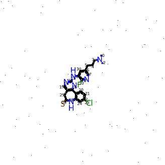 CN(C)CCCc1cnc(F)c(Nc2ncc3c(n2)-c2ccc(Cl)cc2NC(=S)C3)c1